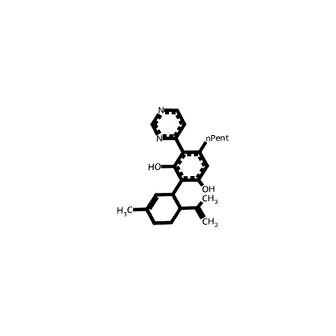 C=C(C)C1CCC(C)=CC1c1c(O)cc(CCCCC)c(-c2ccncn2)c1O